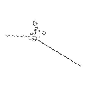 CC#CC#CC#CC#CC#CC#CC#CC#CC#CC#CC#CC#CC(=O)N[C@@H](COP(=O)(OCc1ccccc1)OC[C@@H]1COC(C)(C)O1)[C@H](OC(C)C)[C@H](O)CCCCCCCCCCCCCC